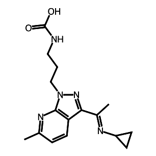 CC(=NC1CC1)c1nn(CCCNC(=O)O)c2nc(C)ccc12